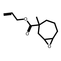 C=CCOC(=O)C1(C)CCCC2OC2C1